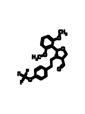 COc1cccc(OC)c1C1OCC(C=O)N1CCc1ccc(OC(F)(F)F)cc1